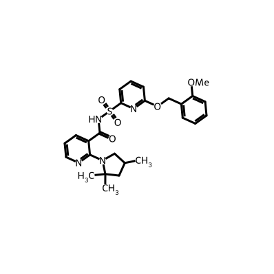 COc1ccccc1COc1cccc(S(=O)(=O)NC(=O)c2cccnc2N2CC(C)CC2(C)C)n1